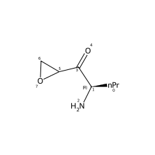 CCC[C@@H](N)C(=O)C1CO1